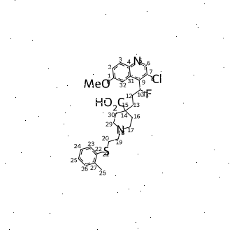 COc1ccc2ncc(Cl)c(C(F)CCC3(C(=O)O)CCN(CCSc4ccccc4C)CC3)c2c1